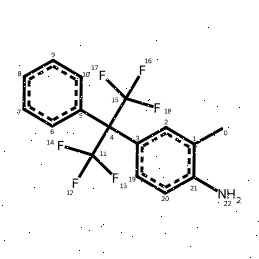 Cc1cc(C(c2ccccc2)(C(F)(F)F)C(F)(F)F)ccc1N